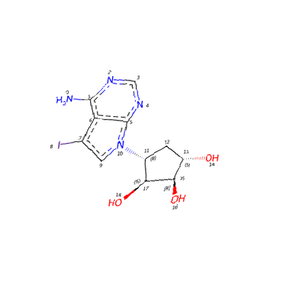 Nc1ncnc2c1c(I)cn2[C@@H]1C[C@H](O)[C@@H](O)[C@H]1O